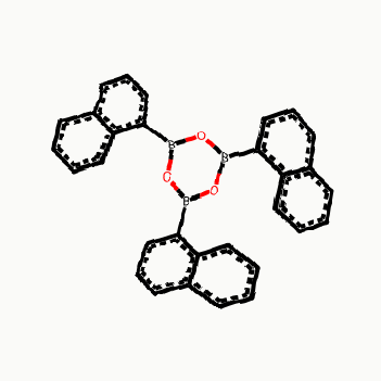 c1ccc2c(B3OB(c4cccc5ccccc45)OB(c4cccc5ccccc45)O3)cccc2c1